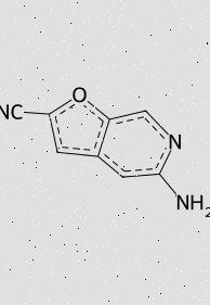 N#Cc1cc2cc(N)ncc2o1